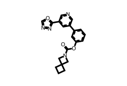 O=C(Oc1cccc(-c2cncc(-c3nnco3)c2)c1)N1CC2(CCC2)C1